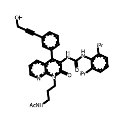 CC(=O)NCCCn1c(=O)c(NC(=O)Nc2c(C(C)C)cccc2C(C)C)c(-c2cccc(C#CCO)c2)c2cccnc21